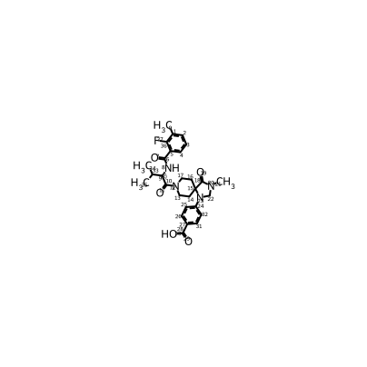 Cc1cccc(C(=O)N[C@@H](C(=O)N2CCC3(CC2)C(=O)N(C)CN3c2ccc(C(=O)O)cc2)C(C)C)c1F